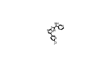 COc1ccc(-c2cnc3sc(C(N)c4cccnc4)nn23)cn1